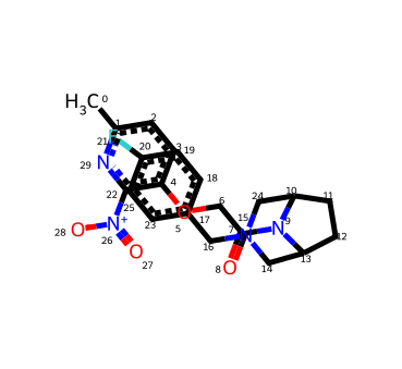 Cc1ccc(OCC(=O)N2C3CCC2CN(Cc2ccc(F)cc2)C3)c([N+](=O)[O-])n1